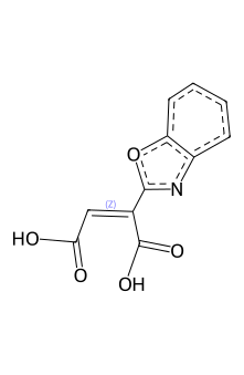 O=C(O)/C=C(\C(=O)O)c1nc2ccccc2o1